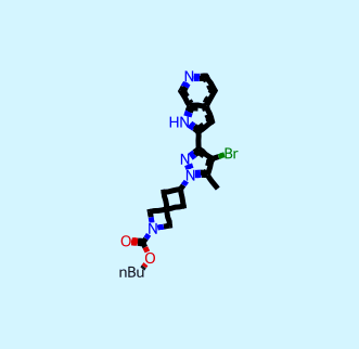 CCCCOC(=O)N1CC2(CC(n3nc(-c4cc5ccncc5[nH]4)c(Br)c3C)C2)C1